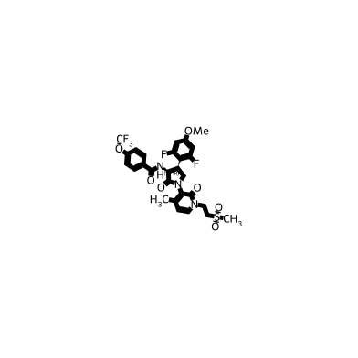 COc1cc(F)c([C@@H]2CN(c3c(C)ccn(CCS(C)(=O)=O)c3=O)C(=O)[C@H]2NC(=O)c2ccc(OC(F)(F)F)cc2)c(F)c1